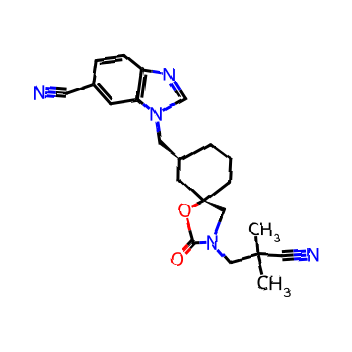 CC(C)(C#N)CN1C[C@@]2(CCC[C@H](Cn3cnc4ccc(C#N)cc43)C2)OC1=O